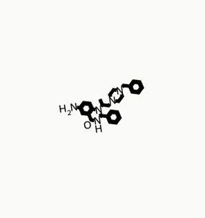 CC(CN1CCN(Cc2ccccc2)CC1)N1c2ccc(N)cc2C(=O)NC1c1ccccc1